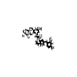 C[C@@H]1CN(CC(=O)N2CC(C)(C)c3ncc(Cc4ccc(F)cc4F)cc32)[C@@H](CN2C(=O)CO[C@@H](C)[C@H]2C)CN1